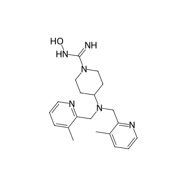 Cc1cccnc1CN(Cc1ncccc1C)C1CCN(C(=N)NO)CC1